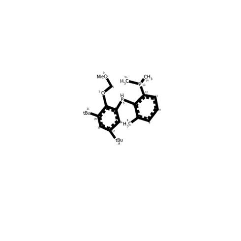 COCOc1c(Pc2c(C)cccc2P(C)C)cc(C(C)(C)C)cc1C(C)(C)C